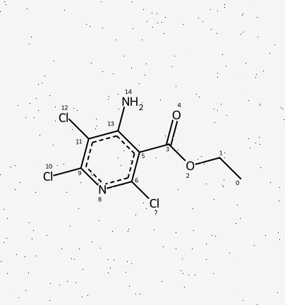 CCOC(=O)c1c(Cl)nc(Cl)c(Cl)c1N